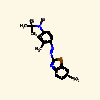 CCN(c1ccc(N=Nc2nc3ccc([N+](=O)[O-])cc3s2)c(C)c1)C(C)(C)C#N